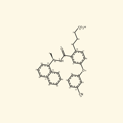 C[C@@H](NC(=O)c1cc(Oc2cccc(C#N)c2)ccc1CCCC(=O)O)c1cccc2ccccc12